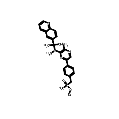 CCOP(C)(=O)Cc1ccc(-c2cnc(N)c(N(N)C(C)(C)c3ccc4ncccc4c3)n2)cc1